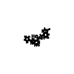 Cn1cnc2c(CNC(=O)c3ncnc4nc(C5CCCC5)[nH]c34)cccc21